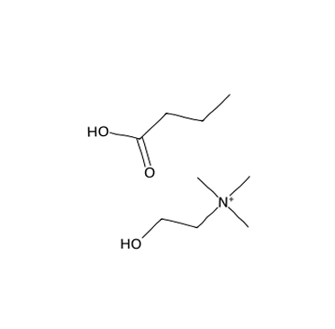 CCCC(=O)O.C[N+](C)(C)CCO